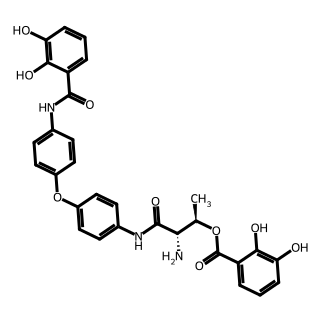 C[C@@H](OC(=O)c1cccc(O)c1O)[C@H](N)C(=O)Nc1ccc(Oc2ccc(NC(=O)c3cccc(O)c3O)cc2)cc1